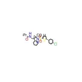 CC(C)C(=O)NC[C@@]1(c2ccccc2)C[C@]1(NS(=O)(=O)c1ccc(-c2ccc(Cl)cc2)s1)C(=O)O